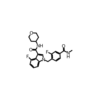 CNC(=O)c1ccc(Cn2cc(C(=O)NC3CCOCC3)c3c(F)cccc32)c(F)c1